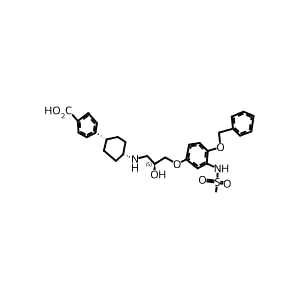 CS(=O)(=O)Nc1cc(OC[C@@H](O)CN[C@H]2CC[C@@H](c3ccc(C(=O)O)cc3)CC2)ccc1OCc1ccccc1